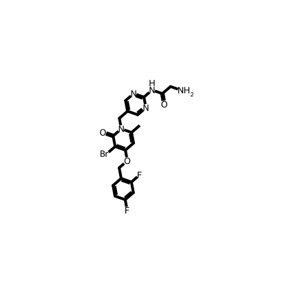 Cc1cc(OCc2ccc(F)cc2F)c(Br)c(=O)n1Cc1cnc(NC(=O)CN)nc1